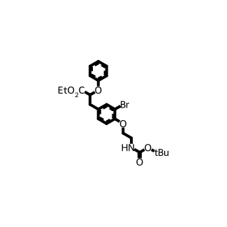 CCOC(=O)C(Cc1ccc(OCCNC(=O)OC(C)(C)C)c(Br)c1)Oc1ccccc1